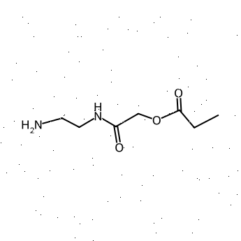 CCC(=O)OCC(=O)NCCN